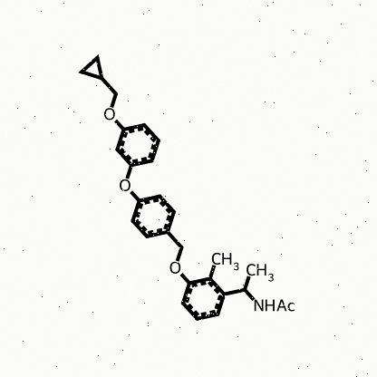 CC(=O)NC(C)c1cccc(OCc2ccc(Oc3cccc(OCC4CC4)c3)cc2)c1C